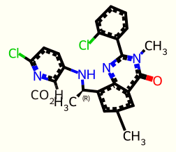 Cc1cc([C@@H](C)Nc2ccc(Cl)nc2C(=O)O)c2nc(-c3ccccc3Cl)n(C)c(=O)c2c1